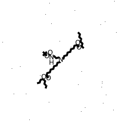 CCCCC(CCC)OC(=O)CCCCCCCCN(CCCCCCCCC(=O)OC(CCC)CCCC)CCCNC(=O)OC(C)(C)C